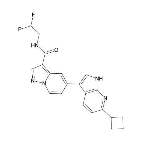 O=C(NCC(F)F)c1cnn2ccc(-c3c[nH]c4nc(C5CCC5)ccc34)cc12